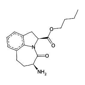 CCCCOC(=O)[C@@H]1Cc2cccc3c2N1C(=O)[C@@H](N)CC3